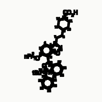 CCCOc1ccc2c(CCC3CCN(C(=O)O)CC3)noc2c1CO[Si](c1ccccc1)(c1ccccc1)C(C)(C)C